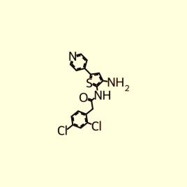 Nc1cc(-c2ccncc2)sc1NC(=O)Cc1ccc(Cl)cc1Cl